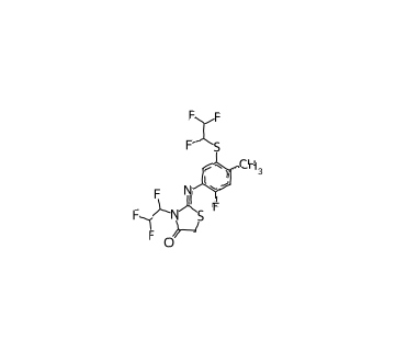 Cc1cc(F)c(N=C2SCC(=O)N2C(F)C(F)F)cc1SC(F)C(F)F